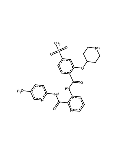 Cc1ccc(NC(=O)c2ncccc2NC(=O)c2ccc(S(C)(=O)=O)cc2OC2CCNCC2)nc1